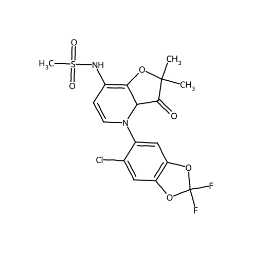 CC1(C)OC2=C(NS(C)(=O)=O)C=CN(c3cc4c(cc3Cl)OC(F)(F)O4)C2C1=O